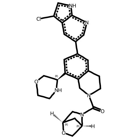 O=C(N1CCc2cc(-c3cnc4[nH]cc(Cl)c4c3)cc([C@@H]3COCCN3)c2C1)N1C[C@H]2C[C@@H]1CO2